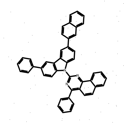 c1ccc(-c2ccc3c(c2)c2cc(-c4ccc5ccccc5c4)ccc2n3-c2nc(-c3ccccc3)c3ccc4ccccc4c3n2)cc1